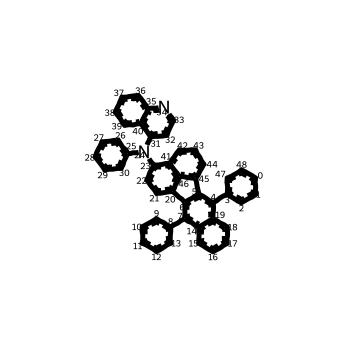 c1ccc(-c2c3c(c(-c4ccccc4)c4ccccc24)-c2ccc(N(c4ccccc4)c4ccnc5ccccc45)c4cccc-3c24)cc1